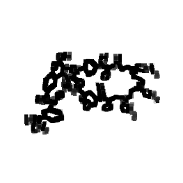 CNc1cccc([S+]([O-])Nc2cccc(C(CC(=O)O)NC(=O)Nc3ccc(NC(=O)NCCN(C)CCN(C)CCN(C)CC(=O)NC(C=O)CC(N)=O)cc3)c2)c1